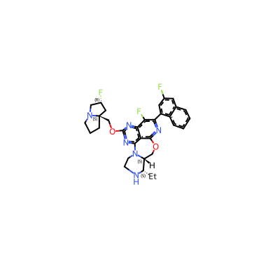 CC[C@@H]1NCCN2c3nc(OC[C@@]45CCCN4C[C@H](F)C5)nc4c(F)c(-c5cc(F)cc6ccccc56)nc(c34)OC[C@H]12